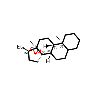 CC[C@@]12CC[C@@]3(OCO1)[C@@H]1CCC4CCCC[C@]4(C)[C@H]1CC[C@]23C